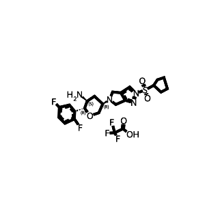 N[C@H]1C[C@@H](N2Cc3cn(S(=O)(=O)C4CCCC4)nc3C2)CO[C@@H]1c1cc(F)ccc1F.O=C(O)C(F)(F)F